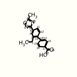 CCc1cc(-c2noc(C)n2)ccc1-c1ccc(C(=O)O)cc1